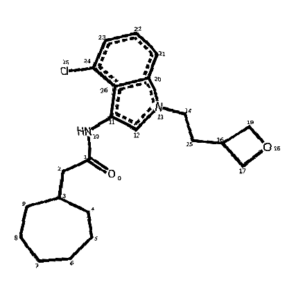 O=C(CC1CCCCCC1)Nc1cn(CCC2COC2)c2cccc(Cl)c12